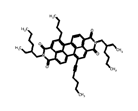 CCCCC#Cc1cc2c3c(ccc4c5c(CCCC)cc6c7c(ccc(c1c34)c75)C(=O)N(CC(CC)CCCC)C6=O)C(=O)N(CC(CC)CCCC)C2=O